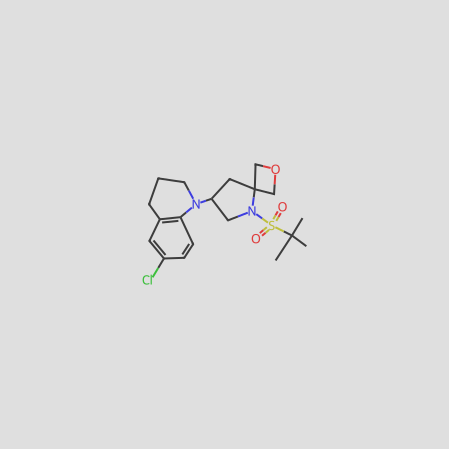 CC(C)(C)S(=O)(=O)N1CC(N2CCCc3cc(Cl)ccc32)CC12COC2